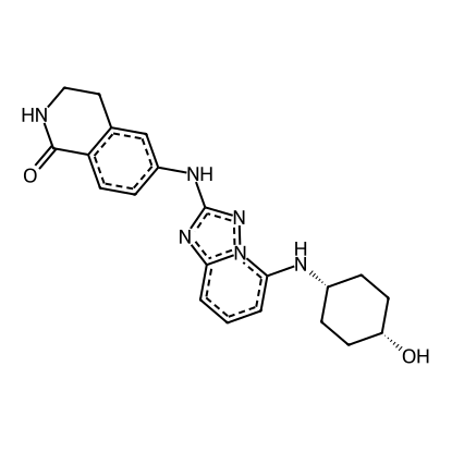 O=C1NCCc2cc(Nc3nc4cccc(N[C@H]5CC[C@@H](O)CC5)n4n3)ccc21